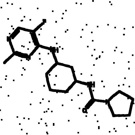 Cc1ncc(F)c(NC2CCCC(NC(=O)N3CCCC3)C2)n1